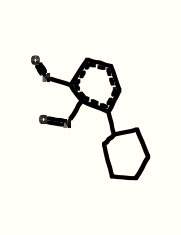 O=Nc1cccc(C2CCCCC2)c1N=O